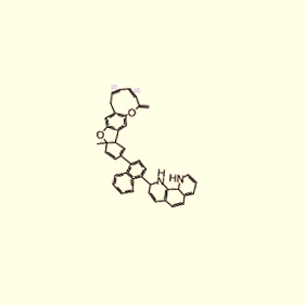 C=C1/C=C\C=C/Cc2cc3c(cc2O1)C1C=C(c2ccc(C4C=CC5=C(N4)C4NC=CC=C4C=C5)c4ccccc24)C=CC1(C)O3